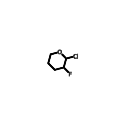 FC1CCCOC1Cl